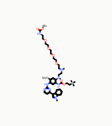 COc1cc(N(C)CCN(C)CCOCCOCCOCCOCCNC(=O)OC(C)(C)C)c(NC(=O)OCC[Si](C)(C)C)cc1Nc1nccc(-c2cn(C)c3ccccc23)n1